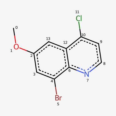 COc1cc(Br)c2nccc(Cl)c2c1